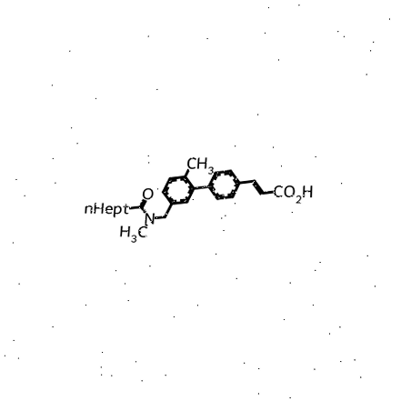 CCCCCCCC(=O)N(C)Cc1ccc(C)c(-c2ccc(C=CC(=O)O)cc2)c1